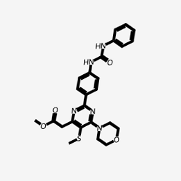 COC(=O)Cc1nc(-c2ccc(NC(=O)Nc3ccccc3)cc2)nc(N2CCOCC2)c1SC